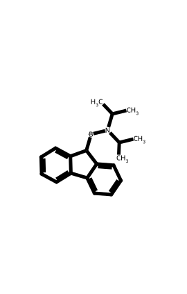 CC(C)N([B]C1c2ccccc2-c2ccccc21)C(C)C